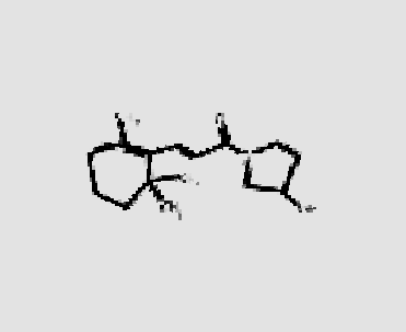 CC1=C(C=CC(=O)N2CCC(O)C2)C(C)(C)CCC1